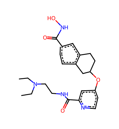 CCN(CC)CCNC(=O)c1cc(OC2CCc3cc(C(=O)NO)ccc3C2)ccn1